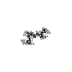 O=C(OC[C@@H]1CC[C@H](OC(=O)c2cc(O)c(O)c(OC(=O)c3cc(O)c(O)c(O)c3)c2)O1)c1cc(O)c(O)c(OC(=O)c2cc(O)c(O)c(O)c2)c1